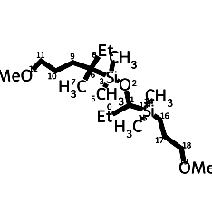 CCC(O[Si](C)(C)C(C)(CC)CCCOC)[Si](C)(C)CCCOC